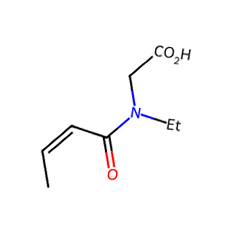 C/C=C\C(=O)N(CC)CC(=O)O